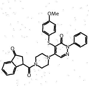 COc1ccc(Sc2c(N3CCN(C(=O)C4CC(=O)c5ccccc54)CC3)cnn(-c3ccccc3)c2=O)cc1